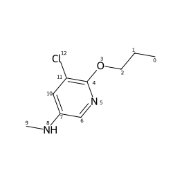 CCCOc1ncc(NC)cc1Cl